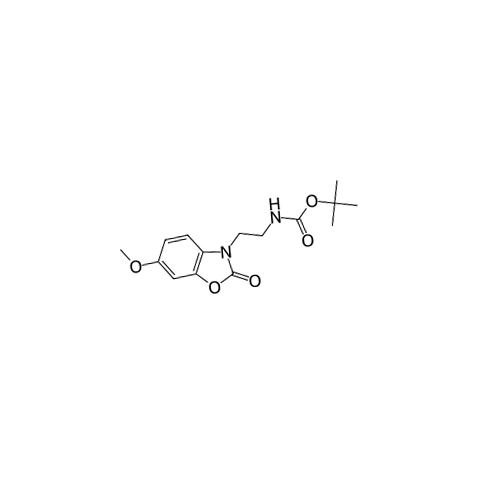 COc1ccc2c(c1)oc(=O)n2CCNC(=O)OC(C)(C)C